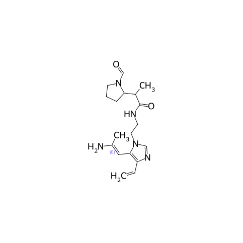 C=Cc1ncn(CCNC(=O)C(C)C2CCCN2C=O)c1/C=C(\C)N